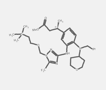 COC(=O)C[C@@H](C)c1ccc(N(CC(C)C)C2CCOCC2)c(Nc2nc(C(F)(F)F)n(COCCS(C)(C)C)n2)c1